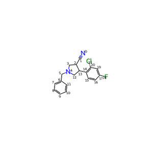 N#CC1CN(Cc2ccccc2)CC1c1ccc(F)cc1Cl